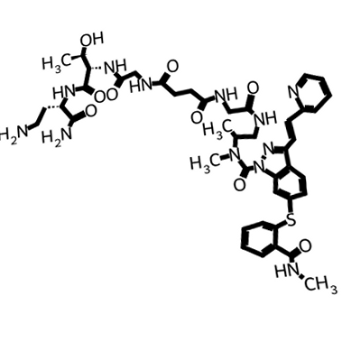 CNC(=O)c1ccccc1Sc1ccc2c(/C=C/c3ccccn3)nn(C(=O)N(C)C(C)CNC(=O)CNC(=O)CCC(=O)NCC(=O)N[C@H](C(=O)N[C@@H](CCN)C(N)=O)[C@@H](C)O)c2c1